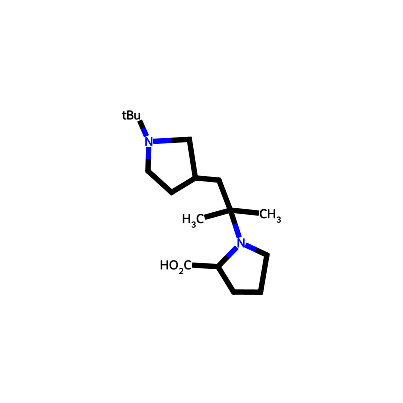 CC(C)(C)N1CCC(CC(C)(C)N2CCCC2C(=O)O)C1